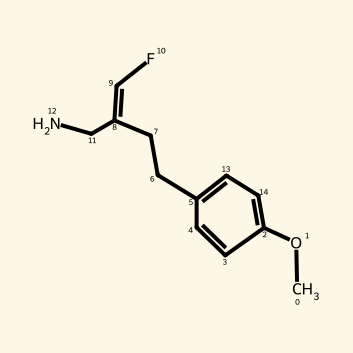 COc1ccc(CC/C(=C\F)CN)cc1